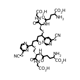 N#CSc1cc(C(CC(=O)CC(SC[C@H](NC(=O)CC[C@@H](N)C(=O)O)C(=O)NCC(=O)O)c2nccc(SC#N)n2)SC[C@H](NC(=O)CC[C@H](N)C(=O)O)C(=O)NCC(=O)O)ncn1